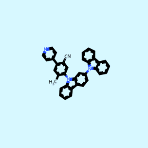 Cc1cc(-c2ccncc2)c(C#N)cc1-n1c2ccccc2c2ccc(-n3c4ccccc4c4ccccc43)cc21